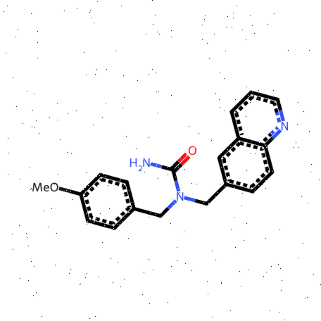 COc1ccc(CN(Cc2ccc3ncccc3c2)C(N)=O)cc1